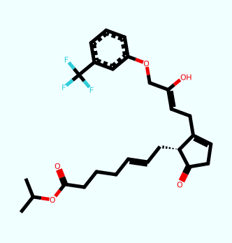 CC(C)OC(=O)CCCC=CC[C@H]1C(=O)CC=C1C/C=C(\O)COc1cccc(C(F)(F)F)c1